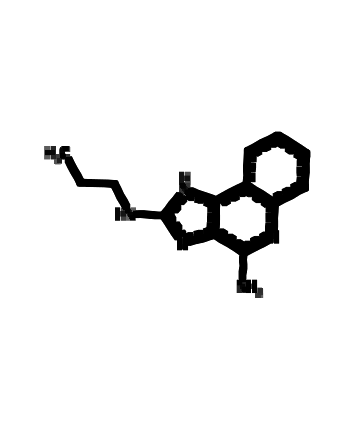 CCCNc1nc2c(N)nc3ccccc3c2[nH]1